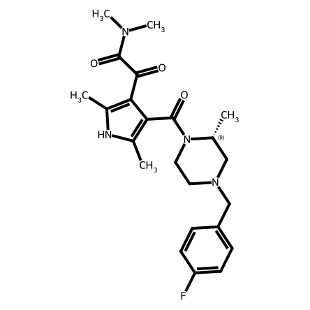 Cc1[nH]c(C)c(C(=O)N2CCN(Cc3ccc(F)cc3)C[C@H]2C)c1C(=O)C(=O)N(C)C